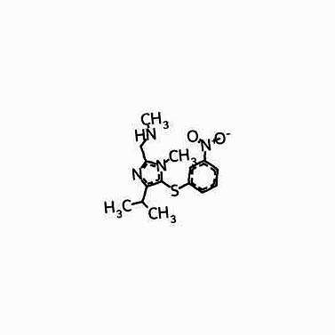 CNCc1nc(C(C)C)c(Sc2cccc([N+](=O)[O-])c2)n1C